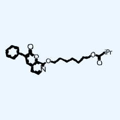 CC(C)C(=O)OCCCCCCCOc1nccc2cc(-c3ccccc3)c(=O)oc12